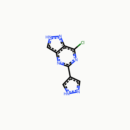 Clc1nc(-c2cn[nH]c2)nc2c[nH]nc12